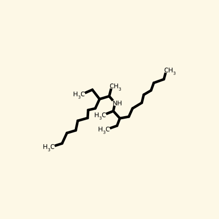 CCCCCCCCC(CC)C(C)NC(C)C(CC)CCCCCCCC